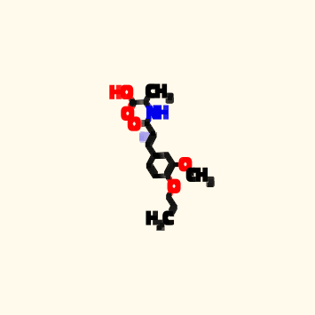 C=CCOc1ccc(/C=C/C(=O)NC(C)C(=O)O)cc1OC